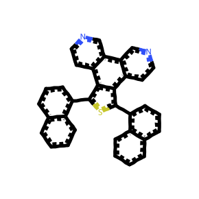 c1ccc2c(-c3sc(-c4cccc5ccccc45)c4c5ccncc5c5cnccc5c34)cccc2c1